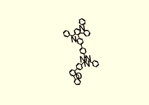 c1ccc(-c2nc(-c3ccc(-c4ccc5c(c4)nc(-c4ccccc4)c4ccc6c(c7ccccc7n6-c6ccccc6)c45)cc3)nc(-c3ccc(-c4cccc5c4oc4ccccc45)cc3)n2)cc1